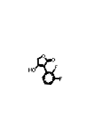 O=C1OCC(O)=C1c1cccc(F)c1F